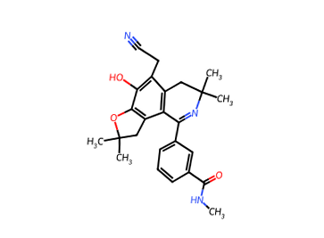 CNC(=O)c1cccc(C2=NC(C)(C)Cc3c(CC#N)c(O)c4c(c32)CC(C)(C)O4)c1